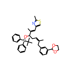 CC(=CCC(O[Si](c1ccccc1)(c1ccccc1)C(C)(C)C)C(C)=Cc1csc(C)n1)Cc1cccc(C2OCCO2)c1